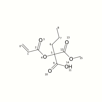 C=CC(=O)OC(CCC)(C(=O)O)C(=O)OC